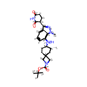 C[C@@H]1CC2(CC[C@H]1Nc1cccc3c(C4CCC(=O)NC4=O)nn(C)c13)CN(C(=O)OC(C)(C)C)C2